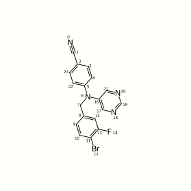 N#Cc1ccc(N(Cc2ccc(Br)c(F)c2)c2cncnc2)cc1